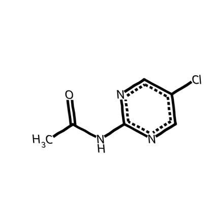 CC(=O)Nc1ncc(Cl)cn1